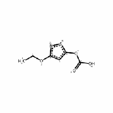 CCOc1cc(OC(=O)O)sn1